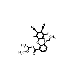 CCOc1cccc(C(=O)OC(C)OC)c1Oc1c(F)c(F)c(C#N)c(C#N)c1F